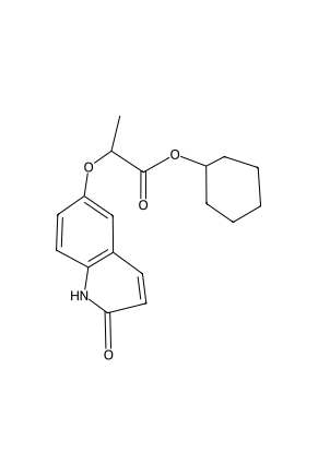 CC(Oc1ccc2[nH]c(=O)ccc2c1)C(=O)OC1CCCCC1